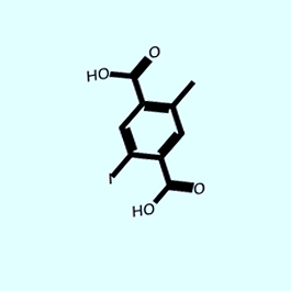 Cc1cc(C(=O)O)c(I)cc1C(=O)O